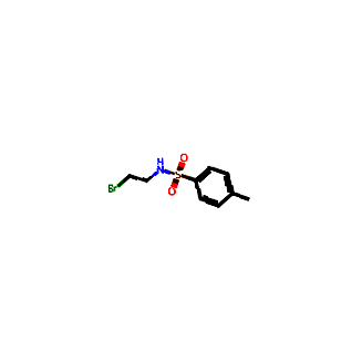 Cc1ccc(S(=O)(=O)NCCBr)cc1